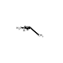 CCCCCCCCCCCCCc1c[nH]c(C(=O)OCC(=O)NCCCC)c1